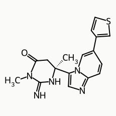 CN1C(=N)N[C@](C)(c2cnc3ccc(-c4ccsc4)cn23)CC1=O